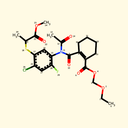 CCOCOC(=O)C1=C(C(=O)N(C(C)=O)c2cc(SC(C)C(=O)OC)c(Cl)cc2F)CCCC1